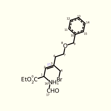 CCOC(=O)C(/C=C(\CBr)CCOCc1ccccc1)NC=O